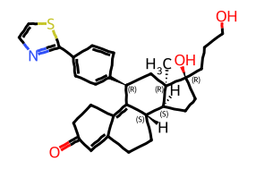 C[C@@]12C[C@H](c3ccc(-c4nccs4)cc3)C3=C4CCC(=O)C=C4CC[C@H]3[C@@H]1CC[C@@]2(O)CCCO